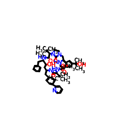 COC(=O)NC(C(=O)NC(Cc1ccc(-c2ccccn2)cc1)CC(O)C(Cc1ccccc1)NC(=O)C(N1CCN(Cc2[nH]ccc3cc(C(C)(C)O)cc2-3)C1=O)C(C)(C)C)C(C)(C)C